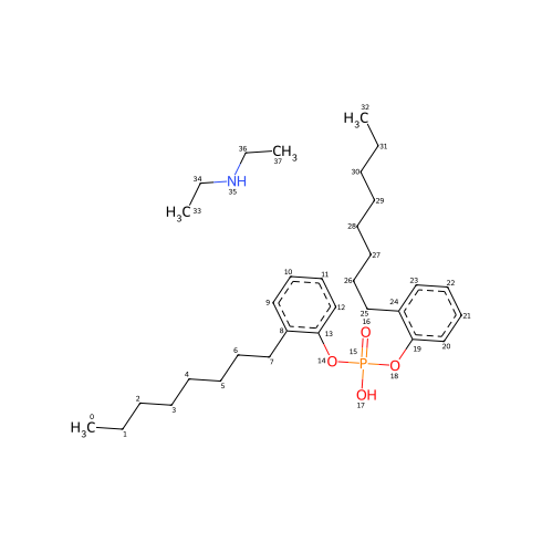 CCCCCCCCc1ccccc1OP(=O)(O)Oc1ccccc1CCCCCCCC.CCNCC